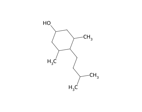 CC(C)CCC1C(C)CC(O)CC1C